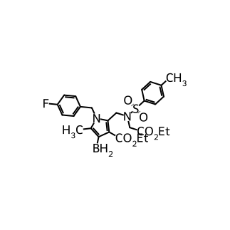 Bc1c(C(=O)OCC)c(CN(CC(=O)OCC)S(=O)(=O)c2ccc(C)cc2)n(Cc2ccc(F)cc2)c1C